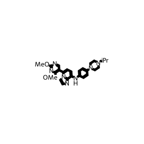 COc1ncc(-c2ccc(Nc3ccc(N4CCN(C(C)C)CC4)cc3)c3nccn23)c(OC)n1